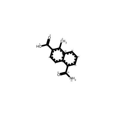 Cc1c(C(=O)O)ccc2c(C(N)=O)cccc12